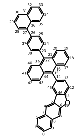 c1ccc2cc3c(cc2c1)oc1ccc(-c2c4ccccc4c(-c4ccc(-c5cccc6ccccc56)cc4)c4ccccc24)cc13